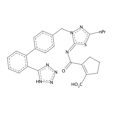 CCCc1nn(Cc2ccc(-c3ccccc3-c3nnn[nH]3)cc2)c(=NC(=O)C2=C(C(=O)O)CCC2)s1